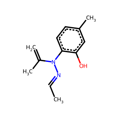 C=C(C)N(/N=C/C)c1ccc(C)cc1O